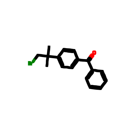 CC(C)(CBr)c1ccc(C(=O)c2ccccc2)cc1